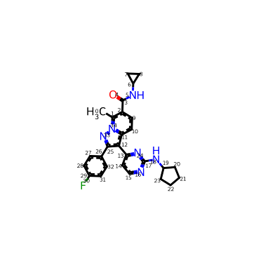 Cc1c(C(=O)NC2CC2)ccc2c(-c3ccnc(NC4CCCC4)n3)c(-c3ccc(F)cc3)nn12